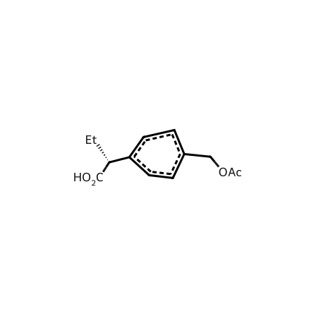 CC[C@@H](C(=O)O)c1ccc(COC(C)=O)cc1